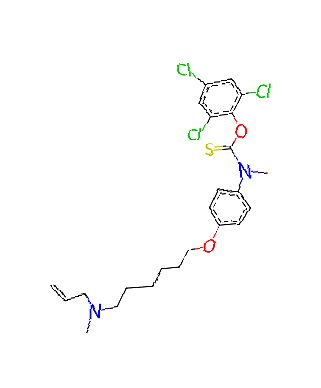 C=CCN(C)CCCCCCOc1ccc(N(C)C(=S)Oc2c(Cl)cc(Cl)cc2Cl)cc1